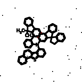 CC1(C)c2ccccc2-c2cccc(-c3ccccc3N(c3ccc4c(c3)C3(CCc5ccccc53)c3ccccc3-4)c3cccc4sc5c6ccccc6ccc5c34)c21